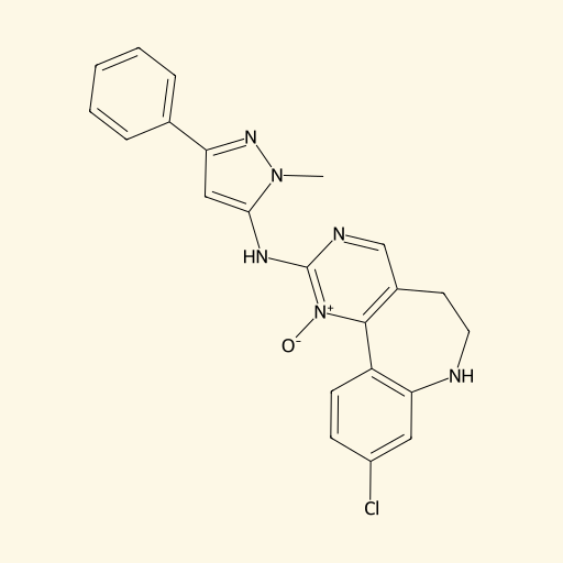 Cn1nc(-c2ccccc2)cc1Nc1ncc2c([n+]1[O-])-c1ccc(Cl)cc1NCC2